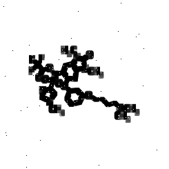 CN(C)CCCCOc1cccc(Oc2cc3c(cc2N(OC(=O)C(F)(F)F)S(=O)(=O)c2cn(C)cn2)n(C)c(=O)n3C)c1